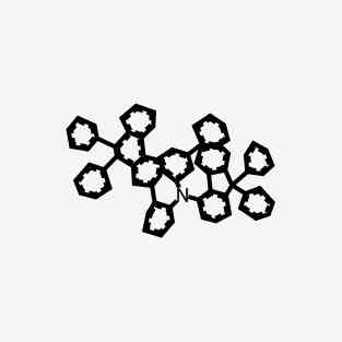 c1ccc(-c2cccc(N(c3ccccc3-c3ccc4c(c3)c(-c3ccccc3)c(-c3ccccc3)c3ccccc34)c3cccc4c3-c3ccccc3C4(c3ccccc3)c3ccccc3)c2)cc1